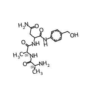 C[C@H](N)C(=O)N[C@@H](C)C(=O)NC(CC(N)=O)C(=O)Nc1ccc(CO)cc1